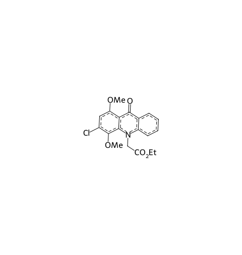 CCOC(=O)Cn1c2ccccc2c(=O)c2c(OC)cc(Cl)c(OC)c21